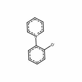 [O-]c1ccccc1-[n+]1ccccc1